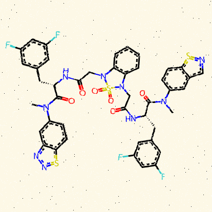 CN(C(=O)[C@H](Cc1cc(F)cc(F)c1)NC(=O)CN1c2ccccc2N(CC(=O)N[C@@H](Cc2cc(F)cc(F)c2)C(=O)N(C)c2ccc3snnc3c2)S1(=O)=O)c1ccc2sncc2c1